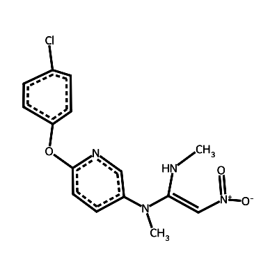 CNC(=C[N+](=O)[O-])N(C)c1ccc(Oc2ccc(Cl)cc2)nc1